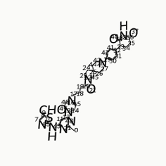 Cc1nc(Nc2ncc(C=O)s2)cc(N2CCN(CCCC(=O)N3CCC4(CCN(c5ccc(C6CCC(=O)NC6=O)cc5)CC4)C3)CC2)n1